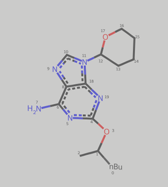 CCCCC(C)Oc1nc(N)c2ncn(C3CCCCO3)c2n1